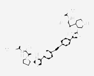 COC(=O)N[C@H](C(=O)C1CCNC[C@H]1c1ncc(-c2ccc(C#Cc3ccc(-c4cnc([C@@H]5CCCN5C(=O)[C@@H](NC(=O)OC)C(C)C)[nH]4)cc3)cc2)[nH]1)C(C)C